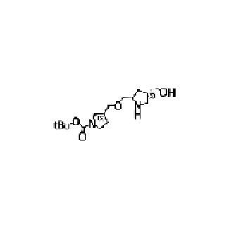 CC(C)(C)OC(=O)N1CC[C@H](COCC2C[C@H](CO)CN2)C1